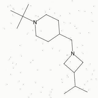 CC(C)C1CN(CC2CCN(C(C)(C)C)CC2)C1